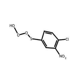 O=[N+]([O-])c1cc(SOOO)ccc1Cl